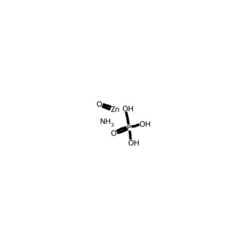 N.O=P(O)(O)O.[O]=[Zn]